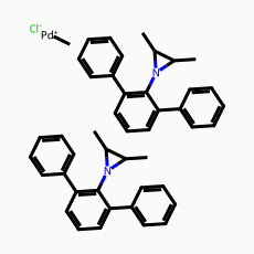 CC1C(C)N1c1c(-c2ccccc2)cccc1-c1ccccc1.CC1C(C)N1c1c(-c2ccccc2)cccc1-c1ccccc1.[CH3][Pd+].[Cl-]